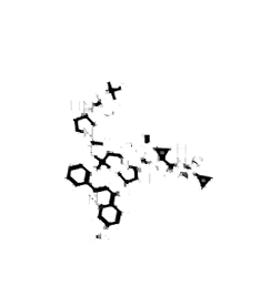 C=C[C@@H]1C[C@]1(NC(=O)[C@@H]1C[C@@H](Oc2cc(-c3ccccc3)nc3cc(OC)ccc23)CN1C(=O)[C@@H](CC(=O)N1CC[C@@H](NC(=O)OC(C)(C)C)C1)C(C)(C)C)C(=O)NS(=O)(=O)C1CC1